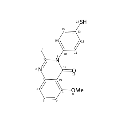 COc1cccc2nc(C)n(-c3ccc(S)cc3)c(=O)c12